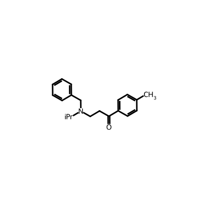 Cc1ccc(C(=O)CCN(Cc2ccccc2)C(C)C)cc1